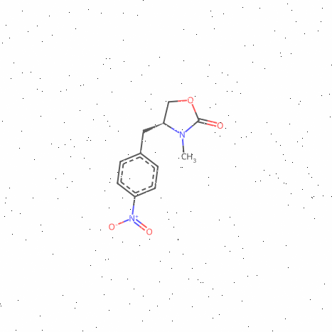 CN1C(=O)OC[C@@H]1Cc1ccc([N+](=O)[O-])cc1